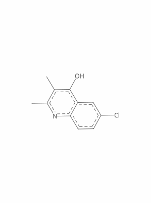 Cc1nc2ccc(Cl)cc2c(O)c1C